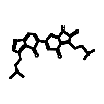 CN(C)CCC1=C2C(=O)C(C3=CC(=O)C4=C(CCN(C)C)C(=O)NC4=C3)=CC=C2N=C1